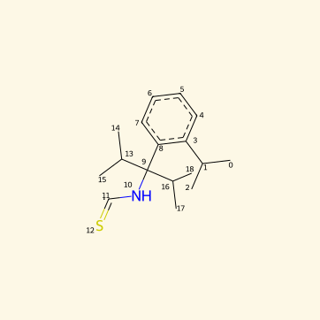 CC(C)c1ccccc1C(N[C]=S)(C(C)C)C(C)C